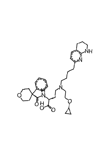 O=C(O)C(CCN(CCCCc1ccc2c(n1)NCCC2)CCOC1CC1)NC(=O)C1(c2ccccc2)CCOCC1